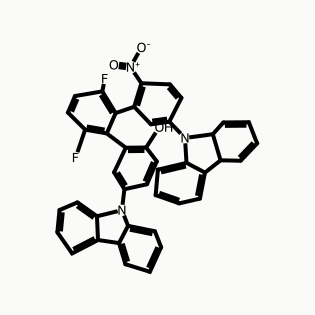 O=[N+]([O-])c1ccc(N2c3ccccc3C3C=CC=CC32)cc1-c1c(F)ccc(F)c1-c1cc(-n2c3ccccc3c3ccccc32)ccc1O